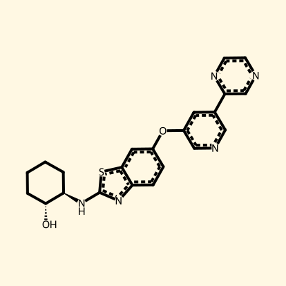 O[C@@H]1CCCC[C@H]1Nc1nc2ccc(Oc3cncc(-c4cnccn4)c3)cc2s1